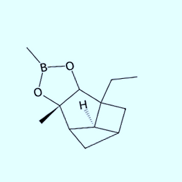 CCC12CC3CC([C@H]31)[C@]1(C)OB(C)OC21